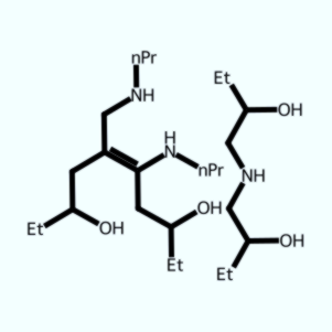 CCC(O)CNCC(O)CC.CCCNCC(CC(O)CC)=C(CC(O)CC)NCCC